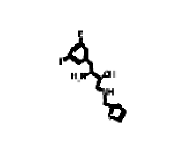 N[C@@H](Cc1cc(F)cc(F)c1)[C@H](O)CNCc1cccs1